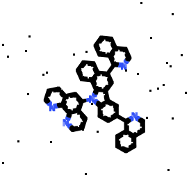 c1ccc2c(-c3ccc4c(c3)c3cc(-c5nccc6ccccc56)c5ccccc5c3n4-c3cc4cccnc4c4ncccc34)nccc2c1